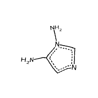 Nc1cncn1N